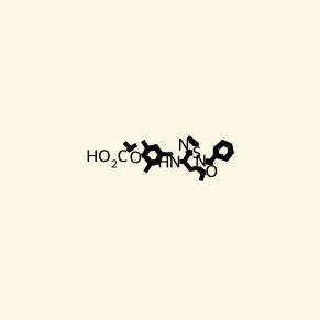 Cc1cc(CNC(Cc2nc(-c3ccccc3)oc2C)c2nccs2)cc(C)c1OC(C)(C)C(=O)O